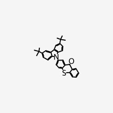 CC(C)(C)c1ccc2c(c1)c1cc(C(C)(C)C)ccc1n2-c1ccc2sc3ccccc3c(=O)c2c1